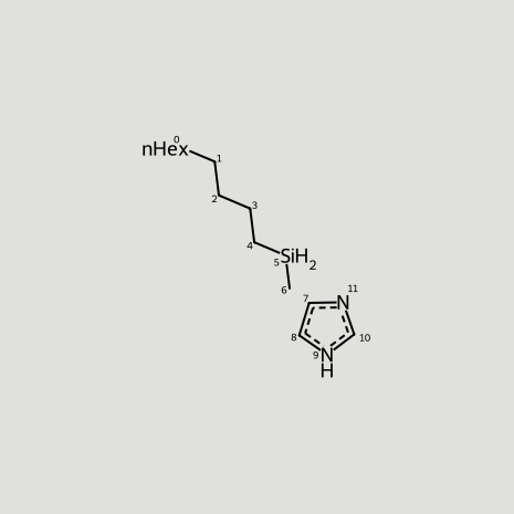 CCCCCCCCCC[SiH2]C.c1c[nH]cn1